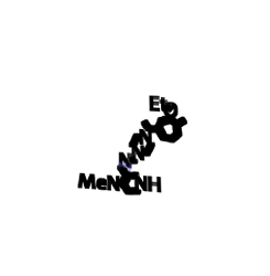 CCOC1=CC(C(C)N2CCN(C/N=C\C3=C(NC)CCNC3)CC2)=CCC=C1C